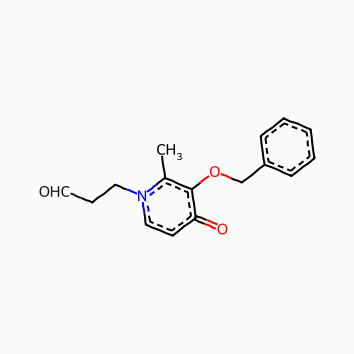 Cc1c(OCc2ccccc2)c(=O)ccn1CCC=O